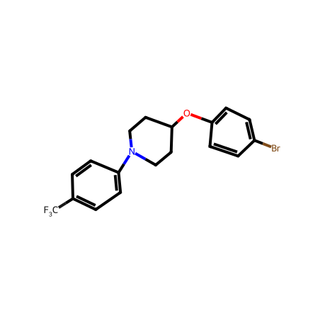 FC(F)(F)c1ccc(N2CCC(Oc3ccc(Br)cc3)CC2)cc1